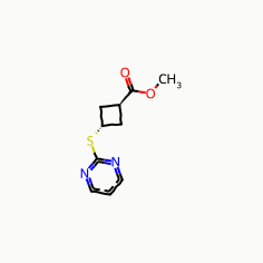 COC(=O)[C@H]1C[C@H](Sc2ncccn2)C1